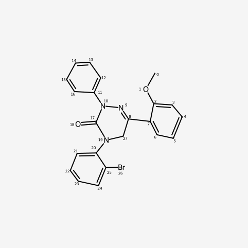 COc1ccccc1C1=NN(c2ccccc2)C(=O)N(c2ccccc2Br)C1